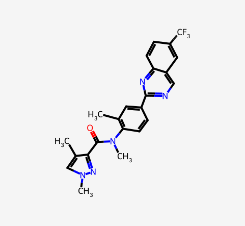 Cc1cc(-c2ncc3cc(C(F)(F)F)ccc3n2)ccc1N(C)C(=O)c1nn(C)cc1C